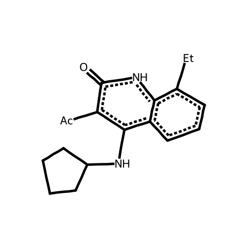 CCc1cccc2c(NC3CCCC3)c(C(C)=O)c(=O)[nH]c12